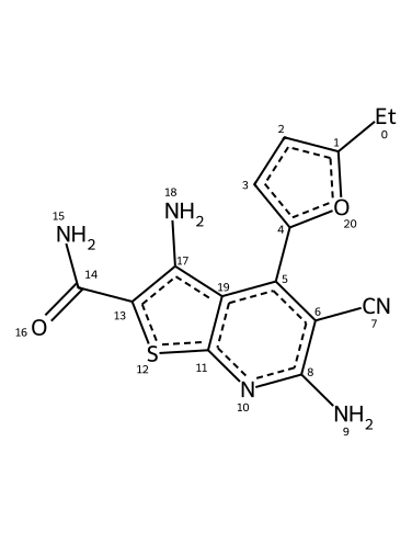 CCc1ccc(-c2c(C#N)c(N)nc3sc(C(N)=O)c(N)c23)o1